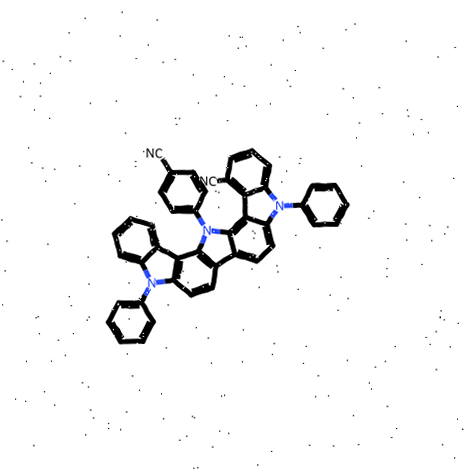 N#Cc1ccc(-n2c3c(ccc4c3c3ccccc3n4-c3ccccc3)c3ccc4c(c5c(C#N)cccc5n4-c4ccccc4)c32)cc1